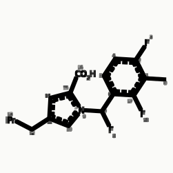 Cc1c(F)ccc(C(F)n2cc(CC(C)C)cc2C(=O)O)c1F